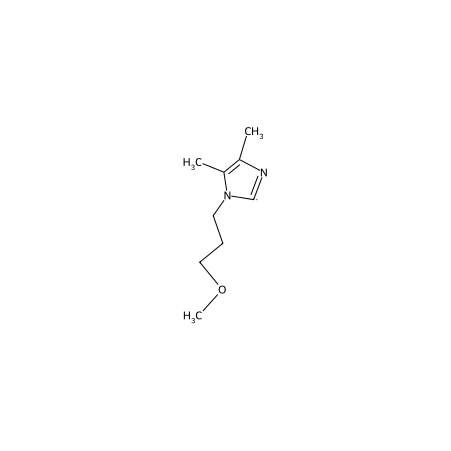 COCCCn1[c]nc(C)c1C